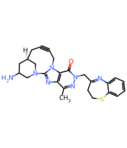 Cc1nn(CC2=Nc3ccccc3SCC2)c(=O)c2c1nc1n2CC#CC[C@@H]2CC(N)CN1C2